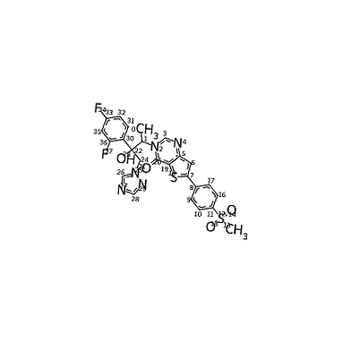 CC(n1cnc2cc(-c3ccc(S(C)(=O)=O)cc3)sc2c1=O)C(O)(Cn1cncn1)c1ccc(F)cc1F